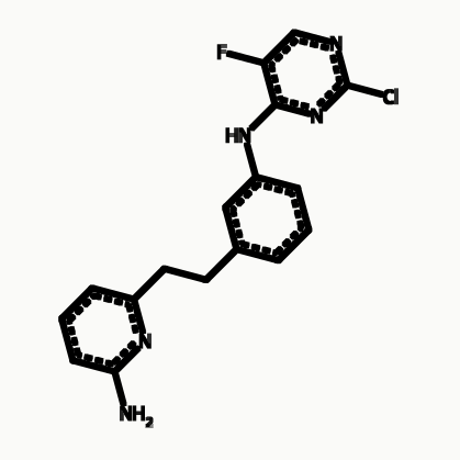 Nc1cccc(CCc2cccc(Nc3nc(Cl)ncc3F)c2)n1